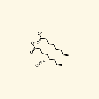 C=CCCCCCC(=O)[O-].C=CCCCCCC(=O)[O-].[Al+3].[Cl-]